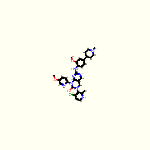 COc1ccc(N2C(=O)N(c3c(Cl)ccnc3C)Cc3cnc(Nc4ccc(C5CCN(C)CC5)cc4OC)nc32)nc1